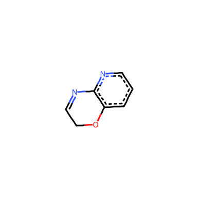 C1=Nc2ncccc2OC1